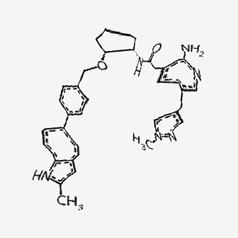 Cc1cc2cc(-c3ccc(CO[C@H]4CCC[C@@H]4NC(=O)c4cc(-c5cnn(C)c5)cnc4N)cc3)ccc2[nH]1